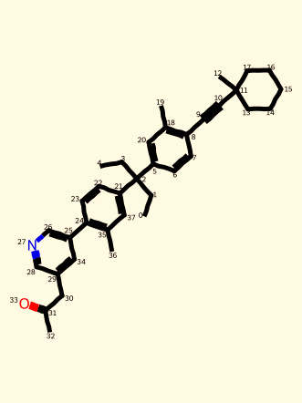 CCC(CC)(c1ccc(C#CC2(C)CCCCC2)c(C)c1)c1ccc(-c2cncc(CC(C)=O)c2)c(C)c1